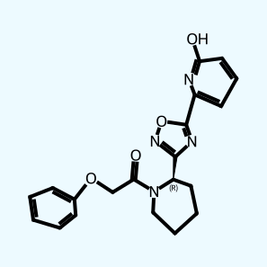 O=C(COc1ccccc1)N1CCCC[C@@H]1c1noc(-c2cccc(O)n2)n1